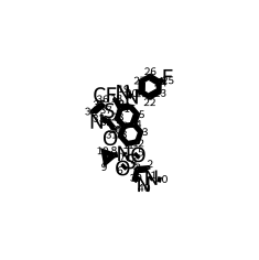 Cn1cc(S(=O)(=O)N(C2CC2)[C@H]2CCC3=Cc4c(cnn4-c4ccc(F)cc4)C[C@]3(C(=O)c3ncc(C(F)(F)F)s3)C2)cn1